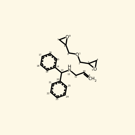 C(OCC1CO1)C1CO1.C=CCNC(c1ccccc1)c1ccccc1